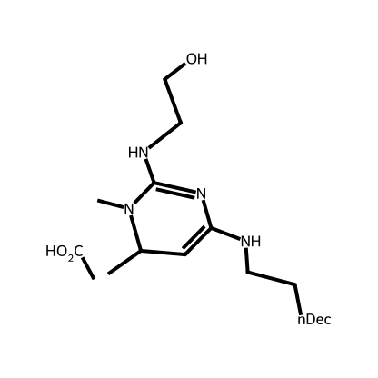 CC(=O)O.CCCCCCCCCCCCNC1=CC(C)N(C)C(NCCO)=N1